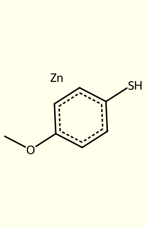 COc1ccc(S)cc1.[Zn]